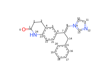 O=C1CCc2cc(C(=Cn3ccnc3)Cc3ccccc3)ccc2N1